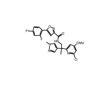 COc1cc(Cl)nc(C(C)(CNC(=O)c2cc(-c3ccc(F)cc3F)on2)c2cnn(C)c2)c1